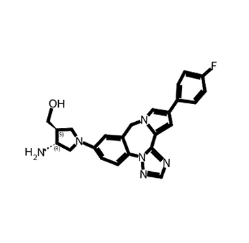 N[C@H]1CN(c2ccc3c(c2)Cn2cc(-c4ccc(F)cc4)cc2-c2ncnn2-3)C[C@@H]1CO